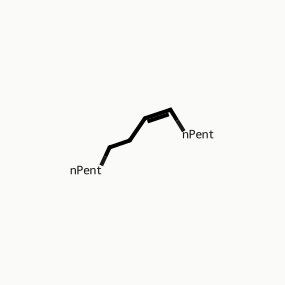 [CH2]CCCCCC/C=C\CCCCC